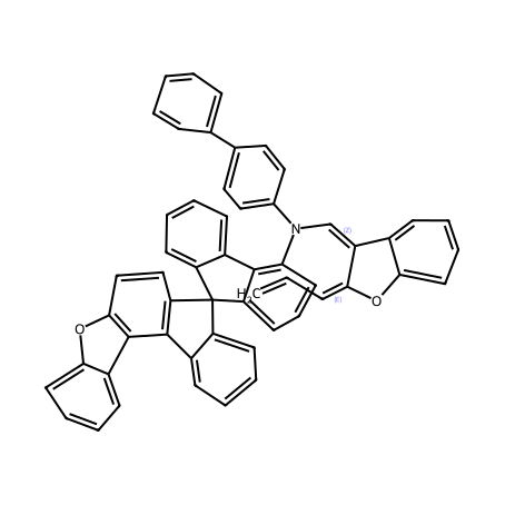 C=C/C=c1/oc2ccccc2/c1=C/N(c1ccc(-c2ccccc2)cc1)c1cccc2c1-c1ccccc1C21c2ccccc2-c2c1ccc1oc3ccccc3c21